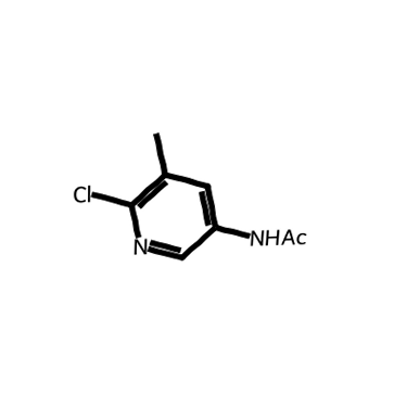 CC(=O)Nc1cnc(Cl)c(C)c1